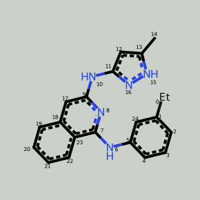 CCc1cccc(Nc2nc(Nc3cc(C)[nH]n3)cc3ccccc23)c1